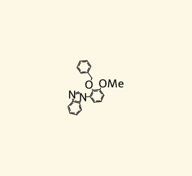 COc1cccc(-n2cnc3ccccc32)c1OCc1ccccc1